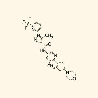 Cc1cc(NC(=O)c2cnn(-c3cccc(C(F)(F)F)n3)c2C)cnc1C1=CCC(N2CCOCC2)CC1